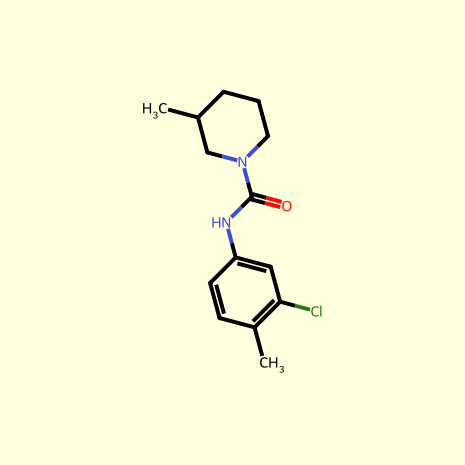 Cc1ccc(NC(=O)N2CCCC(C)C2)cc1Cl